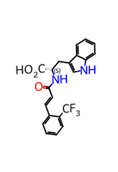 O=C(C=Cc1ccccc1C(F)(F)F)N[C@@H](Cc1c[nH]c2ccccc12)C(=O)O